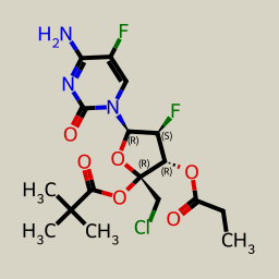 CCC(=O)O[C@H]1[C@H](F)[C@H](n2cc(F)c(N)nc2=O)O[C@@]1(CCl)OC(=O)C(C)(C)C